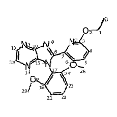 CCOc1cccc(-c2nc3nccnc3n2-c2c(OC)cccc2OC)n1